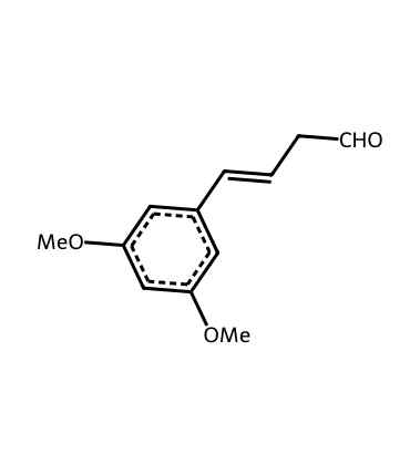 COc1cc(C=CCC=O)cc(OC)c1